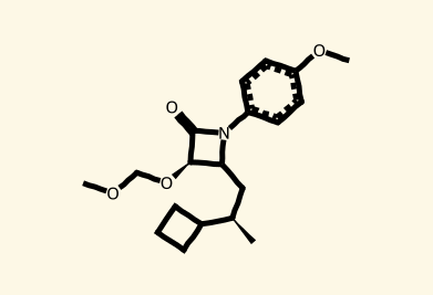 COCO[C@H]1C(=O)N(c2ccc(OC)cc2)C1C[C@@H](C)C1CCC1